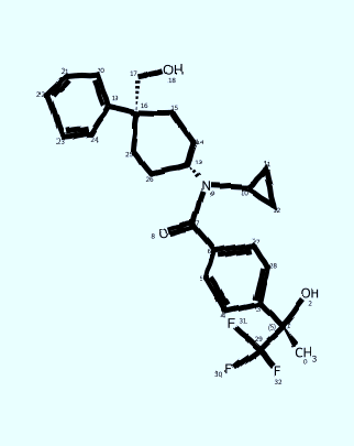 C[C@](O)(c1ccc(C(=O)N(C2CC2)[C@H]2CC[C@](CO)(c3ccccc3)CC2)cc1)C(F)(F)F